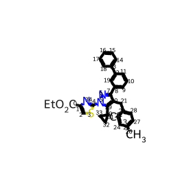 CCOC(=O)c1csc(-n2nc(-c3cccc(-c4ccccc4)c3)c(Cc3ccc(C)cc3)c2C2(C(F)(F)F)CC2)n1